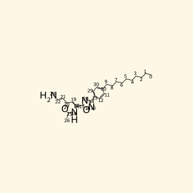 CCCCCCCCCCc1ccc(-c2noc([C@H](CCCCN)NC(C)=O)n2)cc1